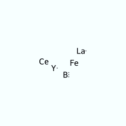 [B].[Ce].[Fe].[La].[Y]